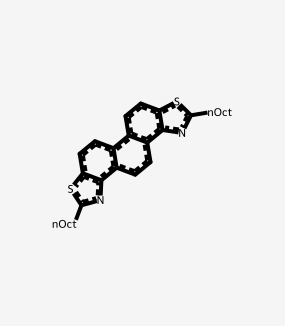 CCCCCCCCc1nc2c(ccc3c4ccc5sc(CCCCCCCC)nc5c4ccc32)s1